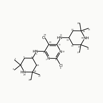 CC1(C)CC(Nc2nc(Cl)nc(NC3CC(C)(C)NC(C)(C)C3)c2Cl)CC(C)(C)N1